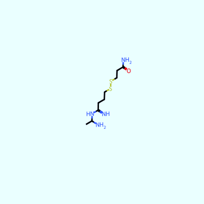 CC(N)NC(=N)CCCSSCCC(N)=O